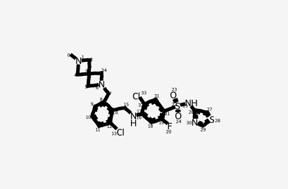 CN1CC2(C1)CN(Cc1cccc(Cl)c1CNc1cc(F)c(S(=O)(=O)Nc3cscn3)cc1Cl)C2